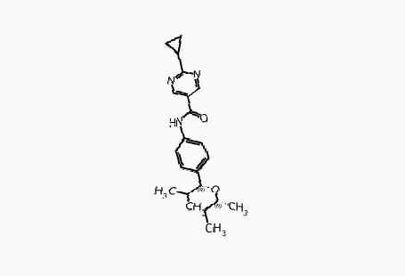 CC[C@@H](C)O[C@@H](c1ccc(NC(=O)c2cnc(C3CC3)nc2)cc1)C(C)C